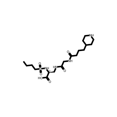 CCCCS(=O)(=O)N[C@@H](CNC(=O)CNC(=O)CCCC1CCNCC1)C(=O)O